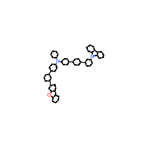 c1ccc(N(c2ccc(-c3ccc(-c4cccc(-n5c6ccccc6c6ccccc65)c4)cc3)cc2)c2ccc(-c3cccc(-c4ccc5c(c4)oc4ccccc45)c3)cc2)cc1